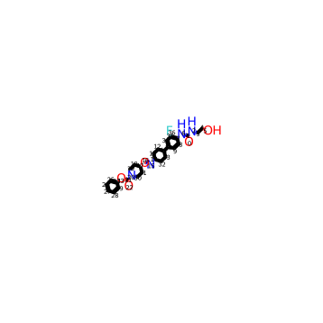 O=C(NCCO)Nc1ccc(C2CCC(=NOC3CCN(C(=O)Oc4ccccc4)CC3)CC2)cc1F